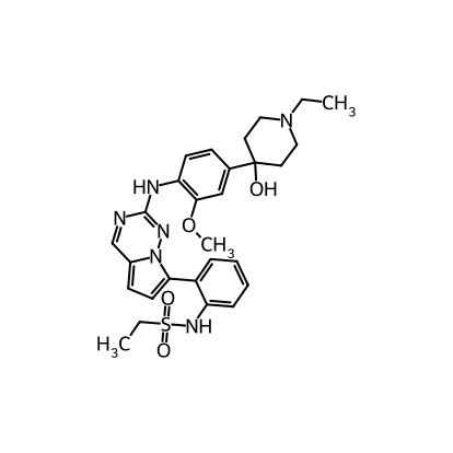 CCN1CCC(O)(c2ccc(Nc3ncc4ccc(-c5ccccc5NS(=O)(=O)CC)n4n3)c(OC)c2)CC1